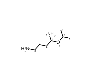 CC(C)OC(N)CCCN